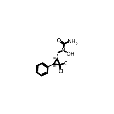 NC(=O)N(O)C[C@H]1[C@H](c2ccccc2)C1(Cl)Cl